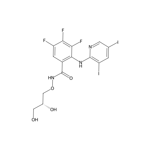 O=C(NOC[C@H](O)CO)c1cc(F)c(F)c(F)c1Nc1ncc(I)cc1I